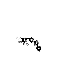 Cc1nc(CC2CCN(c3ncc(-c4ccccc4)s3)CC2)nc([C]=O)c1O